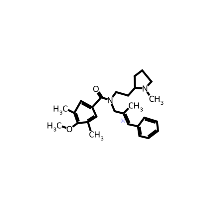 COc1c(C)cc(C(=O)N(CCC2CCCN2C)C/C(C)=C/c2ccccc2)cc1C